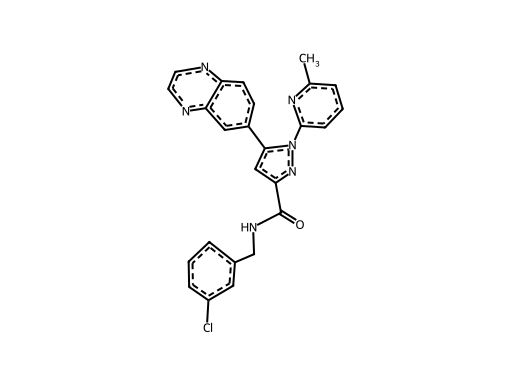 Cc1cccc(-n2nc(C(=O)NCc3cccc(Cl)c3)cc2-c2ccc3nccnc3c2)n1